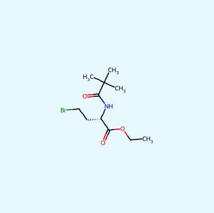 CCOC(=O)[C@H](CCBr)NC(=O)C(C)(C)C